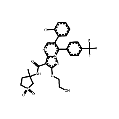 CC1(NC(=O)c2c(OCCO)nn3c(-c4ccc(C(F)(F)F)cc4)c(-c4ccccc4Cl)cnc23)CCS(=O)(=O)C1